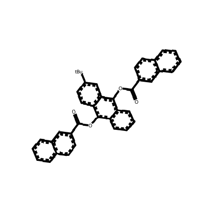 CC(C)(C)c1ccc2c(OC(=O)c3ccc4ccccc4c3)c3ccccc3c(OC(=O)c3ccc4ccccc4c3)c2c1